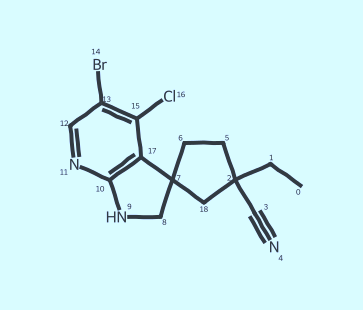 CCC1(C#N)CCC2(CNc3ncc(Br)c(Cl)c32)C1